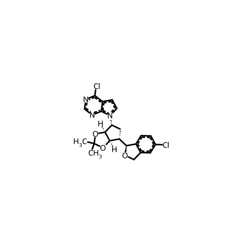 CC1(C)O[C@@H]2[C@@H]([C@@H]3OCc4cc(Cl)ccc43)C[C@@H](n3ccc4c(Cl)ncnc43)[C@@H]2O1